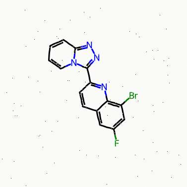 Fc1cc(Br)c2nc(-c3nnc4ccccn34)ccc2c1